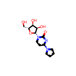 O=c1nc(-n2cccc2)ccn1[C@@H]1O[C@H](CO)[C@@H](O)[C@H]1O